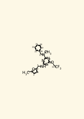 Cc1ccc(CNc2nc(OCC(F)(F)F)nc(N(C)Cc3ccccc3)n2)o1